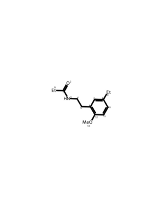 CCC(=O)NCCc1cc(CC)ccc1OC